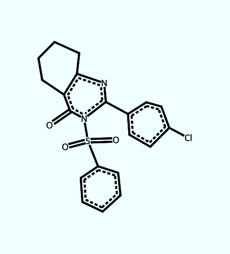 O=c1c2c(nc(-c3ccc(Cl)cc3)n1S(=O)(=O)c1ccccc1)CCCC2